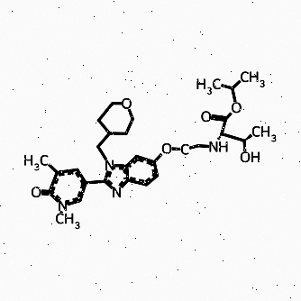 Cc1cc(-c2nc3ccc(OCCN[C@H](C(=O)OC(C)C)[C@@H](C)O)cc3n2CC2CCOCC2)cn(C)c1=O